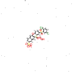 O=S(=O)(O)c1ccc2cc(Oc3ccc(S(=O)(=O)c4cc(Cl)ccc4Cl)cc3)c(SOOO)cc2c1